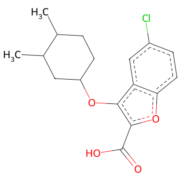 CC1CCC(Oc2c(C(=O)O)oc3ccc(Cl)cc23)CC1C